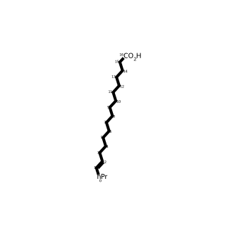 CCCC=CCCCCCCCCCCCCCC(=O)O